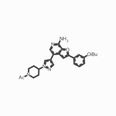 CC(=O)N1CCC(n2cc(-c3cnc(N)c4oc(-c5cccc(OCC(C)C)c5)cc34)cn2)CC1